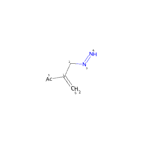 C=C(CN=N)C(C)=O